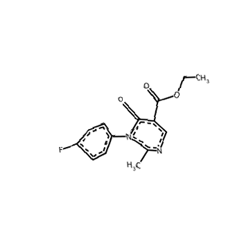 CCOC(=O)c1cnc(C)n(-c2ccc(F)cc2)c1=O